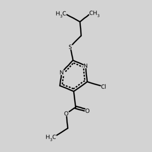 CCOC(=O)c1cnc(SCC(C)C)nc1Cl